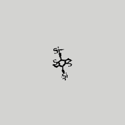 C[Si](C)(C)C#Cc1c2ccsc2c(C#C[Si](C)(C)C)c2ccsc12